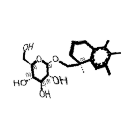 Cc1cc2c(c(C)c1C)CCC[C@]2(C)CO[C@H]1O[C@H](CO)[C@@H](O)[C@H](O)[C@H]1O